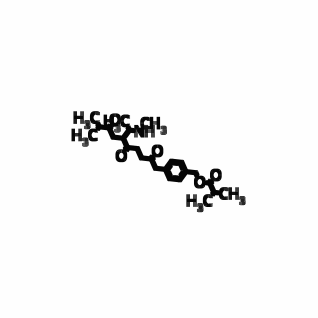 CNC(C)C(CC(=O)C(C)C)C(=O)CCC(=O)Cc1ccc(COC(=O)C(C)C)cc1